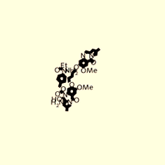 CCC(=O)N(N)c1ccc(COC(=O)N2c3cc(OCCCCCOc4cc5c(cc4OC)C(=O)N4C=C(C)CC4C=N5)c(OC)cc3C(=O)N3C=C(C)C[C@@]3(N)[C@@H]2O)cc1